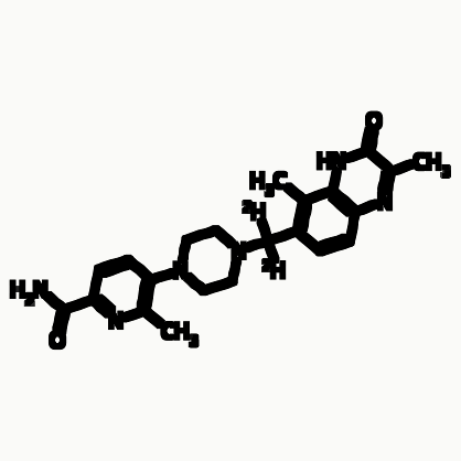 [2H]C([2H])(c1ccc2nc(C)c(=O)[nH]c2c1C)N1CCN(c2ccc(C(N)=O)nc2C)CC1